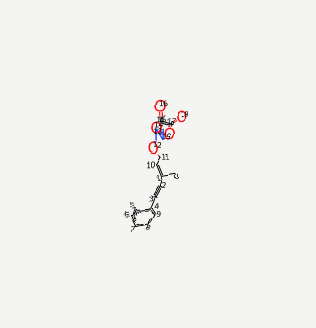 CC(C#Cc1ccccc1)=CCOn1oc(=O)c(=O)o1